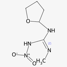 C/N=C(/NC1CCCO1)N[N+](=O)[O-]